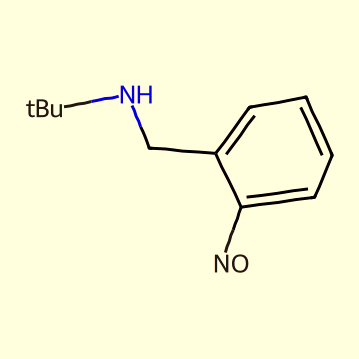 CC(C)(C)NCc1ccccc1N=O